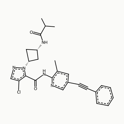 Cc1cc(C#Cc2ccccc2)cnc1NC(=O)c1c(Cl)cnn1[C@H]1C[C@@H](NC(=O)C(C)C)C1